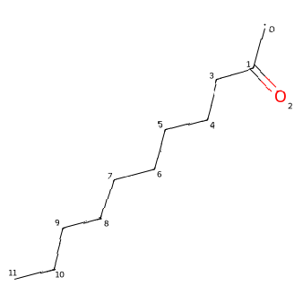 [CH2]C(=O)CCCCCCCCC